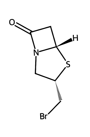 O=C1C[C@@H]2S[C@H](CBr)CN12